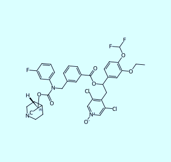 CCOc1cc(C(Cc2c(Cl)c[n+]([O-])cc2Cl)OC(=O)c2cccc(CN(C(=O)O[C@H]3CN4CCC3CC4)c3cccc(F)c3)c2)ccc1OC(F)F